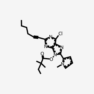 CCCCC#Cc1nc(Cl)c2nc(-c3cccn3C)n(OC(=O)C(C)(C)CC)c2n1